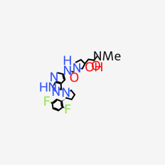 CNC(=O)CC1(O)CCN(C(=O)Nc2cnc3[nH]nc(N4CCC[C@@H]4c4cc(F)ccc4F)c3c2)C1